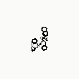 O=S(=O)(c1ccc2ccccc2c1)N(CCN(Cc1cnc[nH]1)c1ccccc1)Cc1ccccc1